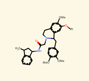 COc1ccc(CC2c3cc(OC(C)C)c(OC)cc3CCN2CC(=O)NC2CC(C)c3ccccc32)cc1OC